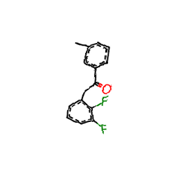 Cc1cccc(C(=O)Cc2cccc(F)c2F)c1